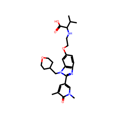 Cc1cc(-c2nc3ccc(OCCNC(C(=O)O)C(C)C)cc3n2CC2CCOCC2)cn(C)c1=O